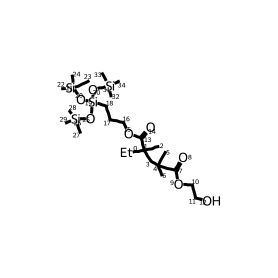 CCC(C)(CC(C)(C)C(=O)OCCO)C(=O)OCCC[Si](O[Si](C)(C)C)(O[Si](C)(C)C)O[Si](C)(C)C